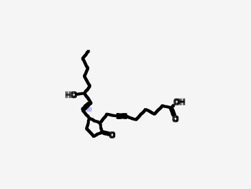 CCCCCC(O)/C=C/C1CCC(=O)C1CC#CCCCCC(=O)O